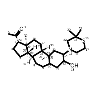 CC(=O)[C@H]1CC[C@H]2[C@@H]3CCC4CC(O)C(N5CCSC(C)(C)C5)C[C@]4(C)[C@H]3CC[C@]12C